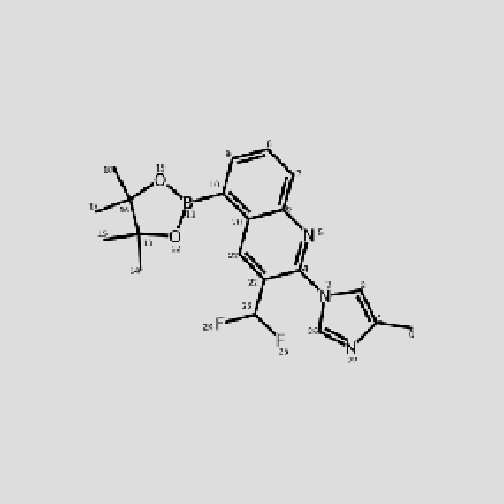 Cc1cn(-c2nc3cccc(B4OC(C)(C)C(C)(C)O4)c3cc2C(F)F)cn1